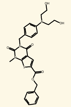 Cn1c(=O)n(Cc2ccc(N(CCO)CCO)cc2)c(=O)c2cc(C(=O)OCc3ccccc3)sc21